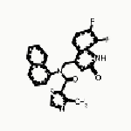 Cc1ncsc1C(=O)N(Cc1cc(=O)[nH]c2c(F)c(F)ccc12)c1cccc2ccccc12